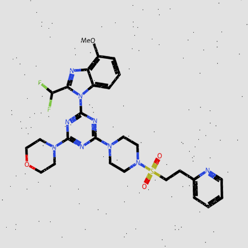 COc1cccc2c1nc(C(F)F)n2-c1nc(N2CCOCC2)nc(N2CCN(S(=O)(=O)CCc3ccccn3)CC2)n1